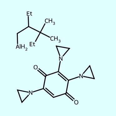 CCC([CH2][AlH2])C(C)(C)CC.O=C1C=C(N2CC2)C(=O)C(N2CC2)=C1N1CC1